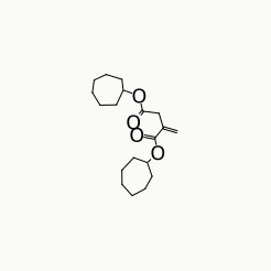 C=C(CC(=O)OC1CCCCCC1)C(=O)OC1CCCCCC1